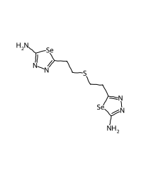 Nc1nnc(CCSCCc2nnc(N)[se]2)[se]1